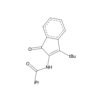 CC(C)C(=O)NC1=C(C(C)(C)C)c2ccccc2C1=O